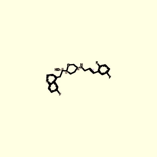 O[C@@H](Cc1ccnc2ccc(F)cc12)[C@@H]1CC[C@@H](NC/C=C/c2cc(F)ccc2F)CO1